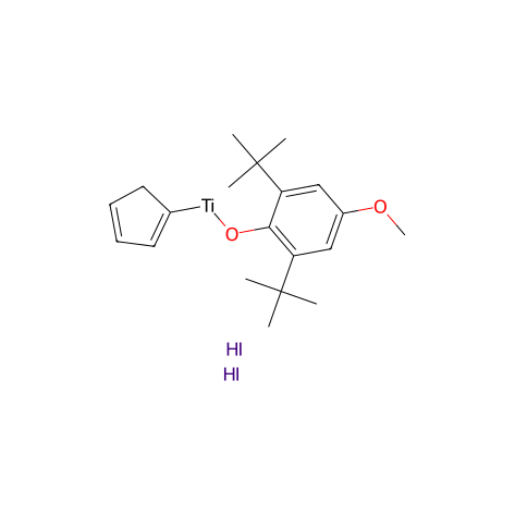 COc1cc(C(C)(C)C)c([O][Ti][C]2=CC=CC2)c(C(C)(C)C)c1.I.I